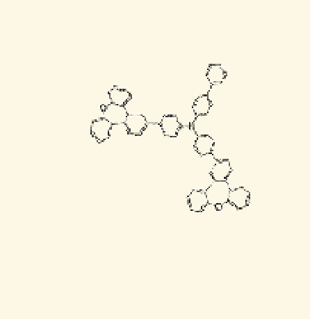 c1ccc(-c2ccc(N(c3ccc(-c4ccc5c(c4)-c4ccccc4Oc4ccccc4-5)cc3)c3ccc(-c4ccc5c(c4)-c4ccccc4Oc4ccccc4-5)cc3)cc2)cc1